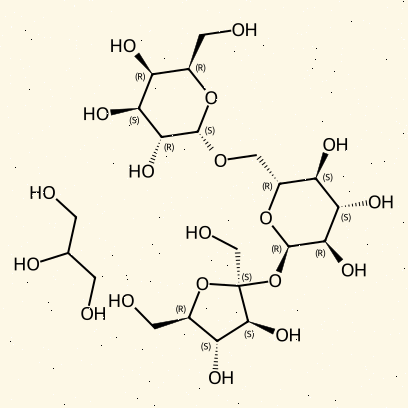 OCC(O)CO.OC[C@H]1O[C@H](OC[C@H]2O[C@H](O[C@]3(CO)O[C@H](CO)[C@@H](O)[C@@H]3O)[C@H](O)[C@@H](O)[C@@H]2O)[C@H](O)[C@@H](O)[C@H]1O